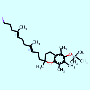 C/C(=C\CCC1(C)CCc2c(C)c(O[Si](C)(C)C(C)(C)C)c(C)c(C)c2O1)CC/C=C(\C)CCCI